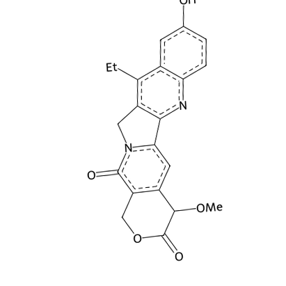 CCc1c2c(nc3ccc(O)cc13)-c1cc3c(c(=O)n1C2)COC(=O)C3OC